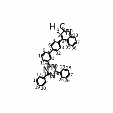 Cc1cc(-c2ccc(-c3cccc(-c4nc(-c5ccccc5)nc(-c5ccccc5)n4)c3)cc2)c2ccccc2n1